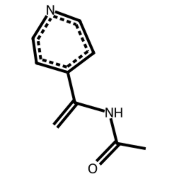 C=C(NC(C)=O)c1ccncc1